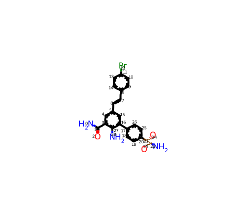 NC(=O)c1cc(/C=C/c2ccc(Br)cc2)cc(-c2ccc(S(N)(=O)=O)cc2)c1N